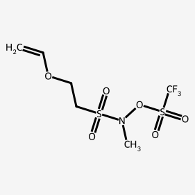 C=COCCS(=O)(=O)N(C)OS(=O)(=O)C(F)(F)F